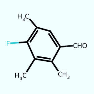 Cc1cc(C=O)c(C)c(C)c1F